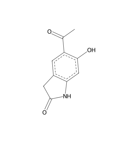 CC(=O)c1cc2c(cc1O)NC(=O)C2